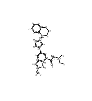 CC[C@H](C)NC(=O)c1cc(-c2cnn(C3CCCc4ccncc43)c2)cc2nc(N)nn12